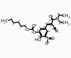 CCCCCCOC(=O)Oc1cc(/C=C(\C#N)C(=O)N(CC)CC)cc([N+](=O)[O-])c1O